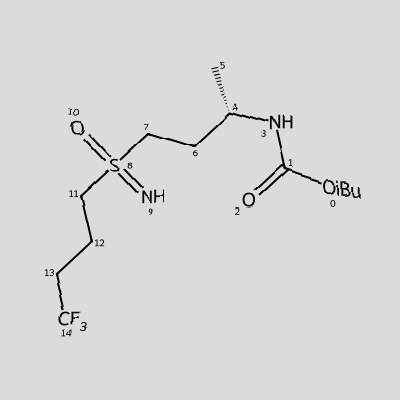 CC(C)COC(=O)N[C@@H](C)CCS(=N)(=O)CCCC(F)(F)F